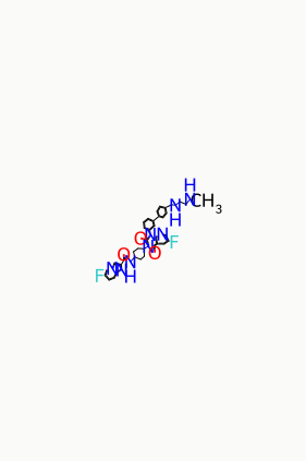 CNCCNCc1ccc(-c2cccc(-n3c(=O)n(C4CCC(NC(=O)c5cn6cc(F)ccc6n5)CC4)c(=O)c4cc(F)cnc43)c2)cc1